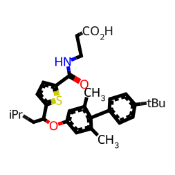 Cc1cc(OC(CC(C)C)c2ccc(C(=O)NCCC(=O)O)s2)cc(C)c1-c1ccc(C(C)(C)C)cc1